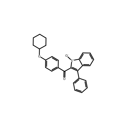 O=C(c1ccc(OC2CCCCC2)cc1)c1c(-c2ccccc2)c2ccccc2[s+]1[O-]